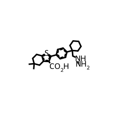 CC1(C)CCc2sc(-c3ccc(C4(CNN)CCCCC4)cc3)c(C(=O)O)c2C1